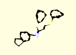 C(=C\C(=N\c1ccc2c(c1)CCC2)Oc1ccccc1)/Sc1ccccc1